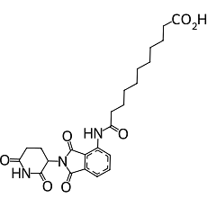 O=C(O)CCCCCCCCCC(=O)Nc1cccc2c1C(=O)N(C1CCC(=O)NC1=O)C2=O